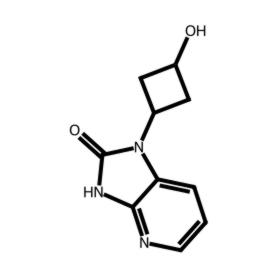 O=c1[nH]c2ncccc2n1C1CC(O)C1